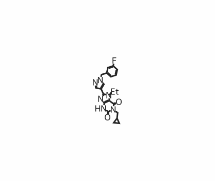 CCn1c(-c2cnn(Cc3cccc(F)c3)c2)nc2[nH]c(=O)n(CC3CC3)c(=O)c21